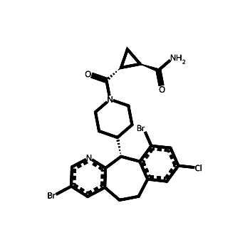 NC(=O)[C@@H]1C[C@H]1C(=O)N1CCC([C@H]2c3ncc(Br)cc3CCc3cc(Cl)cc(Br)c32)CC1